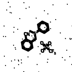 C[S+](Cc1ccccc1C#N)c1ccccc1.O=S(=O)([O-])C(F)(F)F